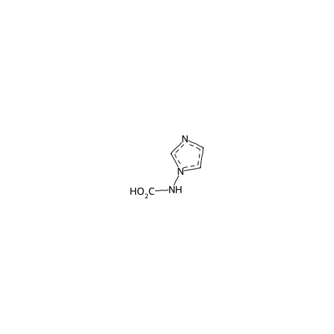 O=C(O)Nn1ccnc1